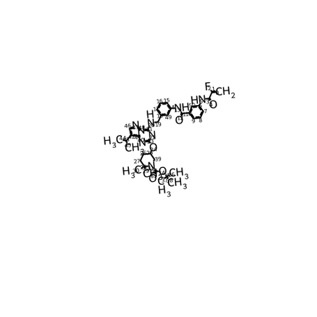 C=C(F)C(=O)Nc1cccc(C(=O)Nc2cccc(CNc3nc(OC4CCC(C)(C)N(C(=O)OC(C)(C)C)C4)nc4c(C(C)C)cnn34)c2)c1